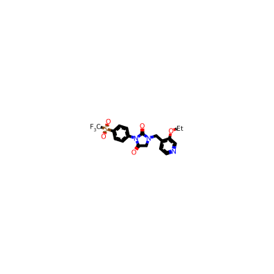 CCOc1cnccc1CN1CC(=O)N(c2ccc(S(=O)(=O)C(F)(F)F)cc2)C1=O